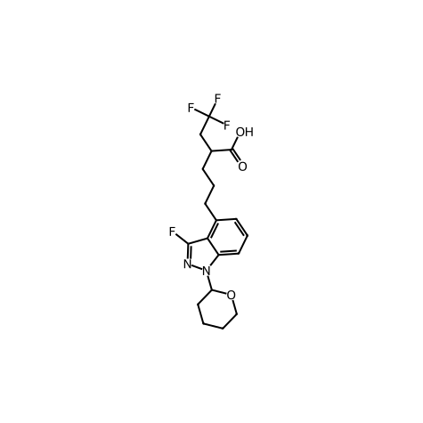 O=C(O)C(CCCc1cccc2c1c(F)nn2C1CCCCO1)CC(F)(F)F